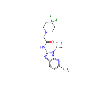 Cc1ccc2nc(NC(=O)CN3CCC(F)(F)CC3)n(C3CCC3)c2n1